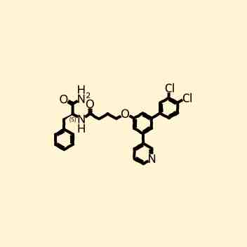 NC(=O)[C@H](Cc1ccccc1)NC(=O)CCCOc1cc(-c2cccnc2)cc(-c2ccc(Cl)c(Cl)c2)c1